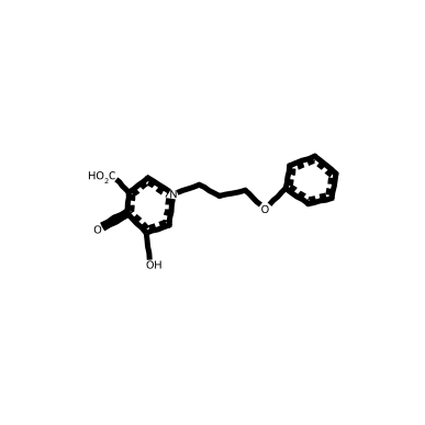 O=C(O)c1cn(CCCOc2ccccc2)cc(O)c1=O